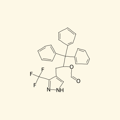 O=COC(Cc1c[nH]nc1C(F)(F)F)C(c1ccccc1)(c1ccccc1)c1ccccc1